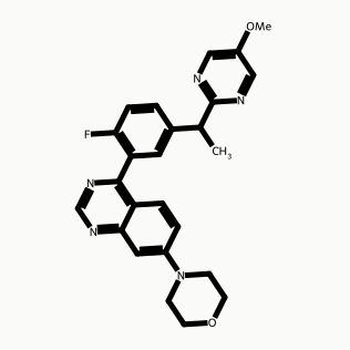 COc1cnc(C(C)c2ccc(F)c(-c3ncnc4cc(N5CCOCC5)ccc34)c2)nc1